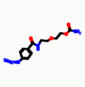 [N-]=[N+]=Nc1ccc(C(=O)NCCOCCOC(N)=O)cc1